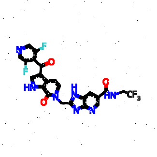 O=C(NCC(F)(F)F)c1cnc2nc(Cn3ccc4c(C(=O)c5c(F)cncc5F)c[nH]c4c3=O)[nH]c2c1